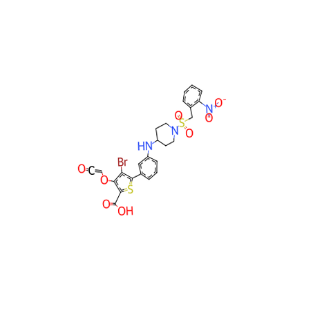 O=C=COc1c(C(=O)O)sc(-c2cccc(NC3CCN(S(=O)(=O)Cc4ccccc4[N+](=O)[O-])CC3)c2)c1Br